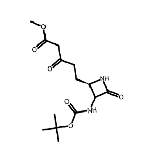 COC(=O)CC(=O)CC[C@H]1NC(=O)C1NC(=O)OC(C)(C)C